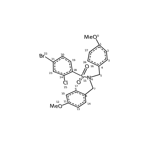 COc1ccc(CN(Cc2ccc(OC)cc2)S(=O)(=O)c2ccc(Br)cc2Cl)cc1